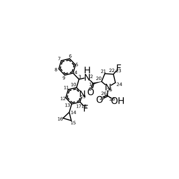 O=C(NC(c1ccccc1)c1ccc(C2CC2)c(F)n1)[C@H]1CC(F)CN1C(=O)O